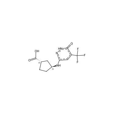 O=C(O)[C@H]1CC[C@H](Nc2cc(C(F)(F)F)c(=O)[nH]n2)C1